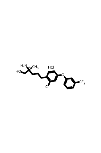 C[C@](N)(CO)CCCc1ccc(Oc2cccc(C(F)(F)F)c2)cc1Cl.Cl